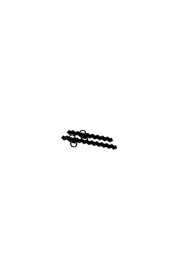 CCCCCCCCCCCC(=O)OCCCCCC.CCCCCCCCCCCCCCCCCC(=O)OCCCC